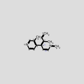 C=C/C(C)=C(/C=C\N=C)c1ccncc1C